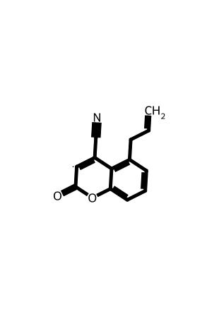 C=CCc1cccc2oc(=O)[c]c(C#N)c12